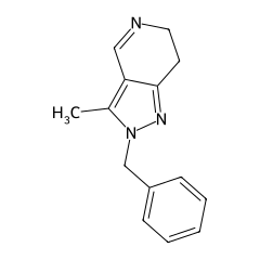 Cc1c2c(nn1Cc1ccccc1)CCN=C2